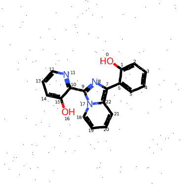 Oc1ccccc1-c1nc(-c2ncccc2O)n2ccccc12